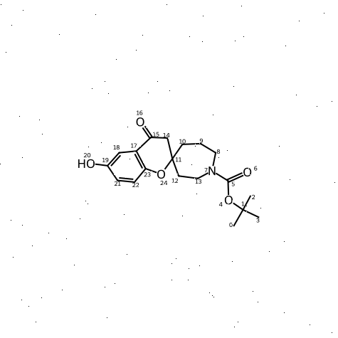 CC(C)(C)OC(=O)N1CCCC2(CC1)CC(=O)c1cc(O)ccc1O2